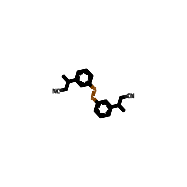 CC(CC#N)c1cccc(SSc2cccc(C(C)CC#N)c2)c1